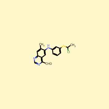 Cc1cc2ncnc(C=O)c2cc1Nc1cccc(SC(C)Cl)c1